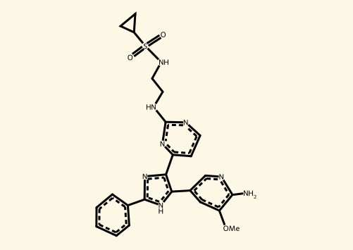 COc1cc(-c2[nH]c(-c3ccccc3)nc2-c2ccnc(NCCNS(=O)(=O)C3CC3)n2)cnc1N